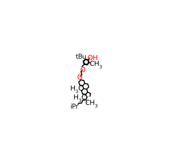 Cc1cc(COCCO[C@H]2CC[C@@]3(C)C(CCC4C3CC[C@@]3(C)C4CC[C@@H]3[C@H](C)CCCC(C)C)C2)cc(C(C)(C)C)c1O